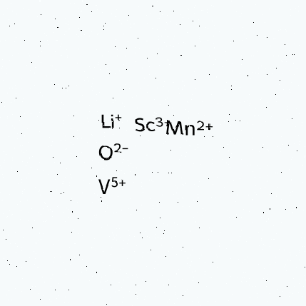 [Li+].[Mn+2].[O-2].[Sc+3].[V+5]